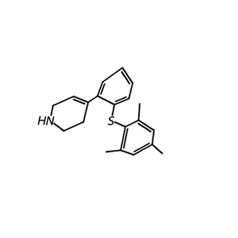 Cc1cc(C)c(Sc2ccccc2C2=CCNCC2)c(C)c1